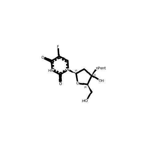 CCCCC[C@]1(O)C[C@H](n2cc(F)c(=O)[nH]c2=O)O[C@@H]1CO